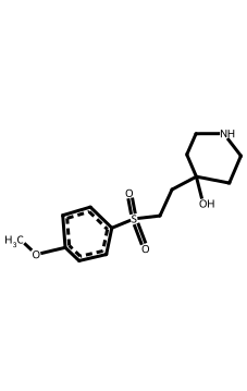 COc1ccc(S(=O)(=O)CCC2(O)CCNCC2)cc1